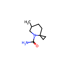 CC1CCC2(CC2)N(C(N)=O)C1